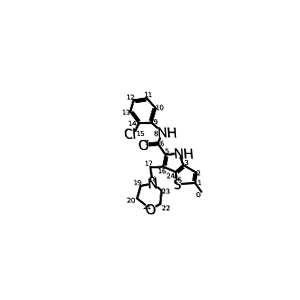 Cc1cc2[nH]c(C(=O)Nc3ccccc3Cl)c(CN3CCOCC3)c2s1